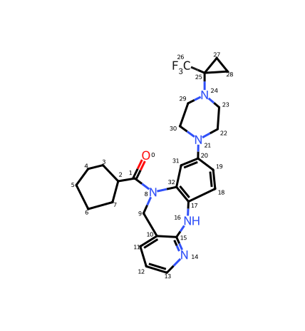 O=C(C1CCCCC1)N1Cc2cccnc2Nc2ccc(N3CCN(C4(C(F)(F)F)CC4)CC3)cc21